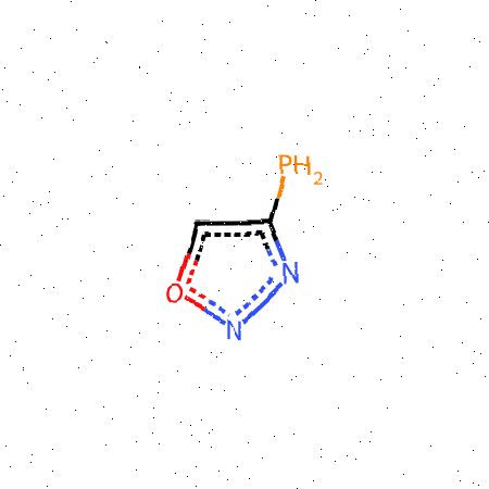 Pc1conn1